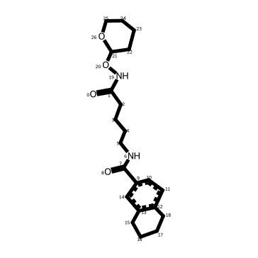 O=C(CCCCNC(=O)c1ccc2c(c1)CCCC2)NOC1CCCCO1